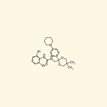 CC(C)c1cccc(C(C)C)c1NC(=O)NCC1(c2ccc(N3CCCCC3)cc2)OCC(C)(C)CO1